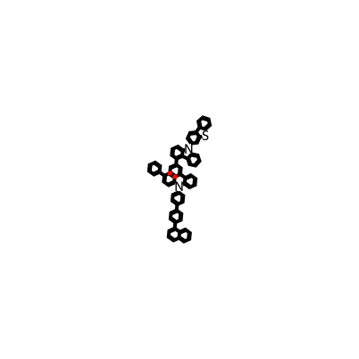 c1ccc(-c2ccc(N(c3ccc(-c4ccc(-c5cccc6ccccc56)cc4)cc3)c3ccccc3-c3cccc(-c4cccc5c4c4ccccc4n5-c4ccc5c(c4)sc4ccccc45)c3)cc2)cc1